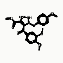 COC(=O)C1=C(C(=O)c2ccc(OC)c(OC)c2)N(Cc2ccc(OC)cc2)NN1